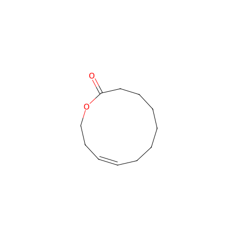 O=C1CCCCCCC=CCCO1